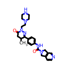 CC1CC(=O)N(CCN2CCNCC2)N=C1c1ccc(NC(=O)N2Cc3ccncc3C2)cc1